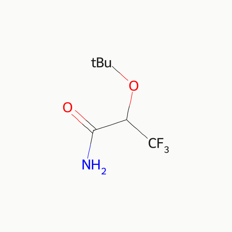 CC(C)(C)OC(C(N)=O)C(F)(F)F